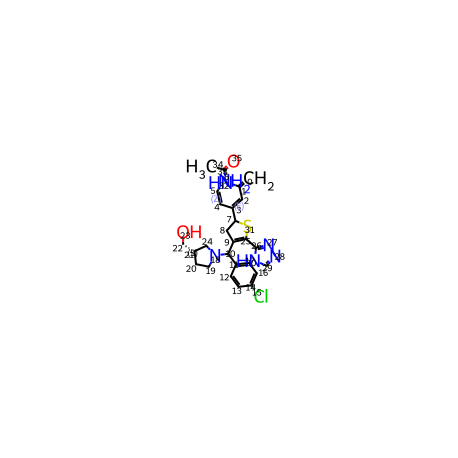 C=C(/C=C(\C=C/N)C1CC(C(c2ccc(Cl)cc2)N2CC[C@H](CO)C2)=C(c2nnc[nH]2)S1)NC(C)=O